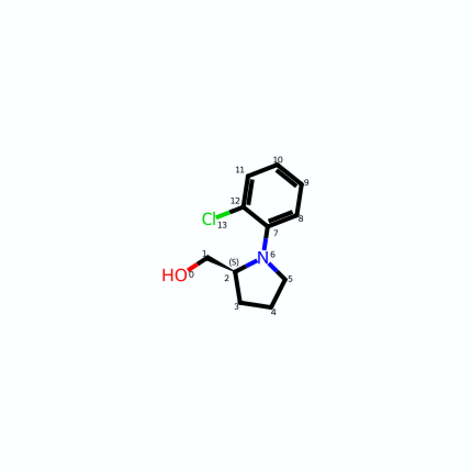 OC[C@@H]1CCCN1c1ccccc1Cl